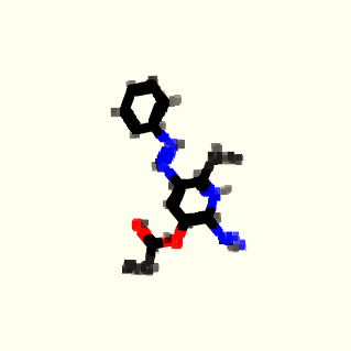 COC(=O)Oc1cc(/N=N/c2ccccc2)c(NC(C)=O)nc1N